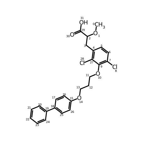 COC(Cc1ccc(Cl)c(OCCCOc2ccc(-c3ccccc3)cc2)c1Cl)C(=O)O